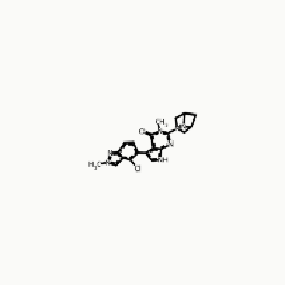 Cn1cc2c(Cl)c(-c3c[nH]c4nc(N5CC6CC(C5)N6)n(C)c(=O)c34)ccc2n1